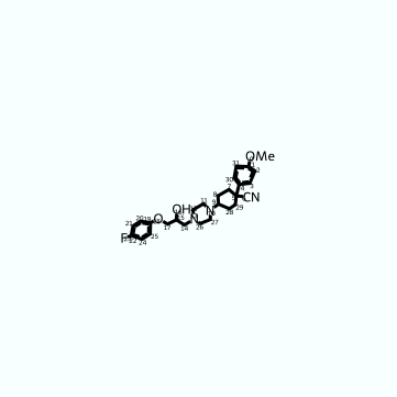 COc1ccc(C2(C#N)CCC(N3CCN(CC(O)COc4ccc(F)cc4)CC3)CC2)cc1